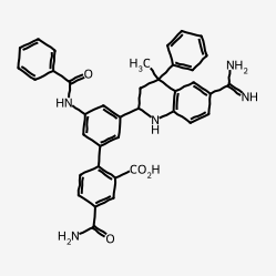 CC1(c2ccccc2)CC(c2cc(NC(=O)c3ccccc3)cc(-c3ccc(C(N)=O)cc3C(=O)O)c2)Nc2ccc(C(=N)N)cc21